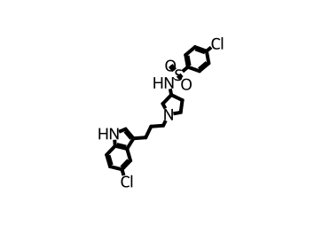 O=S(=O)(NC1CCN(CCCc2c[nH]c3ccc(Cl)cc23)C1)c1ccc(Cl)cc1